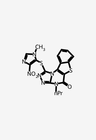 CCCn1c(=O)c2sc3ccccc3c2n2c(Sc3c([N+](=O)[O-])ncn3C)nnc12